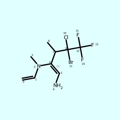 C=CN(C)/C(=C\N)C(C)C(Cl)(Br)C(F)(F)F